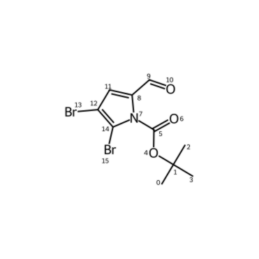 CC(C)(C)OC(=O)n1c(C=O)cc(Br)c1Br